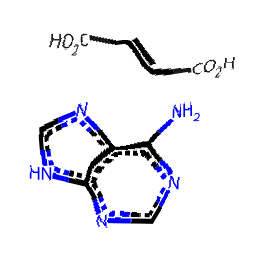 Nc1ncnc2[nH]cnc12.O=C(O)C=CC(=O)O